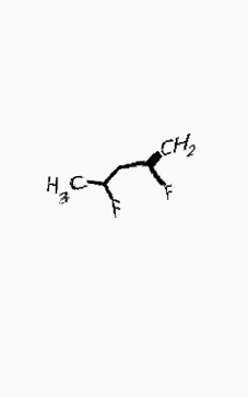 C=C(F)CC(C)F